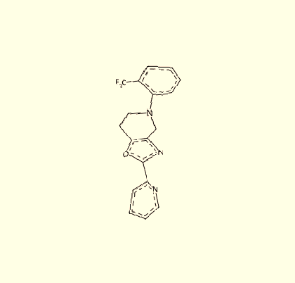 FC(F)(F)c1ccccc1N1CCc2oc(-c3ccccn3)nc2C1